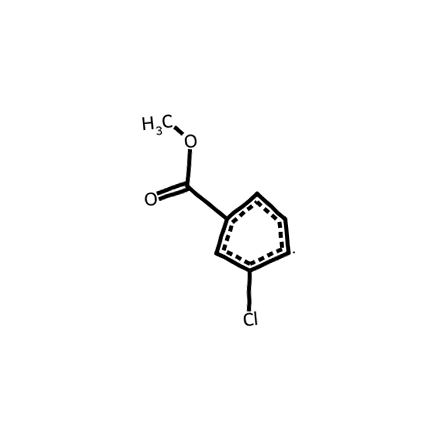 COC(=O)c1cc[c]c(Cl)c1